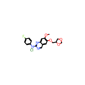 COc1cc2nc(N(Cl)c3ccc(F)cc3)ncc2cc1OCC1COCO1